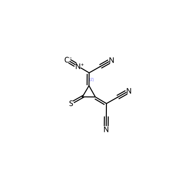 [C-]#[N+]/C(C#N)=c1\c(=S)c1=C(C#N)C#N